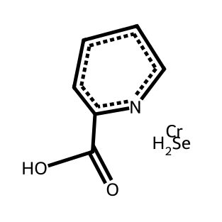 O=C(O)c1ccccn1.[Cr].[SeH2]